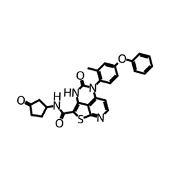 Cc1cc(Oc2ccccc2)ccc1N1C(=O)Nc2c(C(=O)NC3CCC(=O)C3)sc3nccc1c23